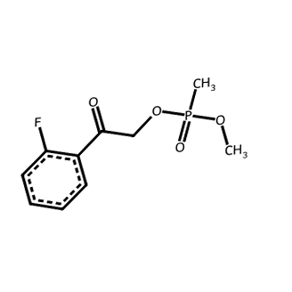 COP(C)(=O)OCC(=O)c1ccccc1F